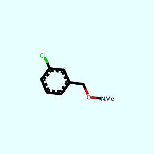 CNOCc1cccc(Cl)c1